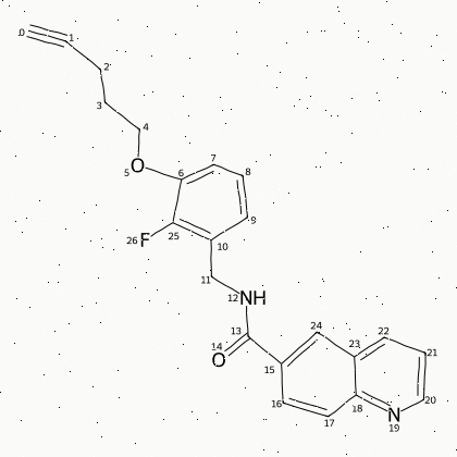 C#CCCCOc1cccc(CNC(=O)c2ccc3ncccc3c2)c1F